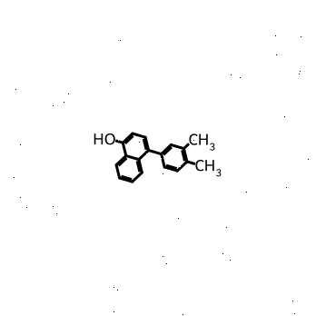 Cc1ccc(-c2ccc(O)c3ccccc23)cc1C